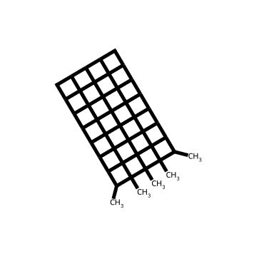 CC1C2C3C4C5C6C7CC8C9C%10CC%11C%12C%13C%14C%15C%16C(C)C%17(C)C%18(C)C1(C)C21C32C43C54C65C87C96C%10%11C%127C%138C%149C%15%10C%16%17C%181C2%10C39C48C657